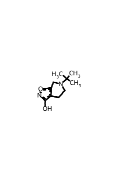 CC(C)(C)N1CCc2c(O)noc2C1